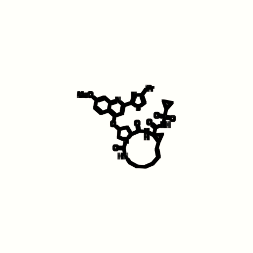 COc1ccc2c(OC3CC4C(=O)NC5(C(=O)NS(=O)(=O)C6CC6)CC5/C=C/CCCCNC(=O)N4C3)cc(-c3nc(C(C)C)cs3)nc2c1